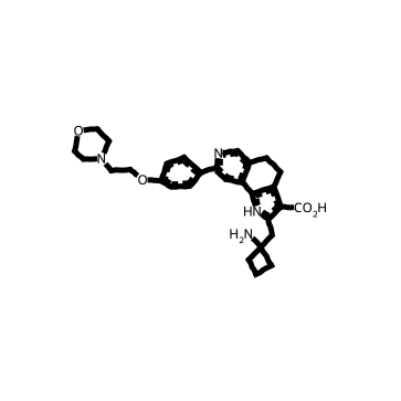 NC1(Cc2[nH]c3c(c2C(=O)O)CCc2cnc(-c4ccc(OCCN5CCOCC5)cc4)cc2-3)CCC1